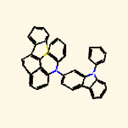 c1ccc(N(c2ccc3c4ccccc4n(-c4ccccc4)c3c2)c2cccc3ccc4c5ccccc5sc4c23)cc1